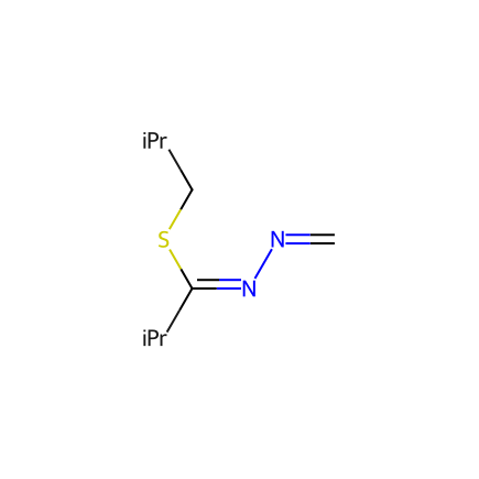 C=N/N=C(\SCC(C)C)C(C)C